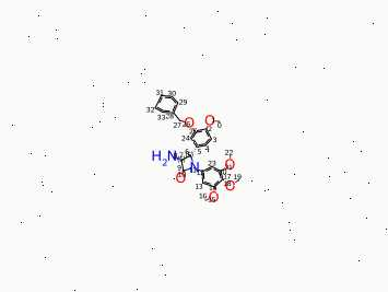 COc1ccc([C@H]2[C@H](N)C(=O)N2c2cc(OC)c(OC)c(OC)c2)cc1OCc1ccccc1